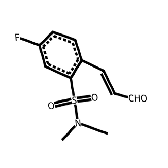 CN(C)S(=O)(=O)c1cc(F)ccc1/C=C/C=O